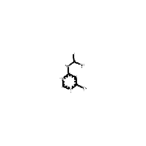 CC(S)Oc1cc(C#N)ncn1